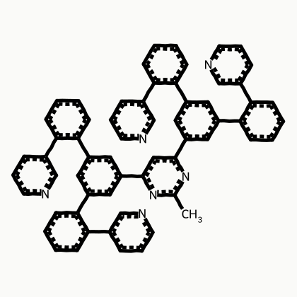 Cc1nc(-c2cc(-c3ccccc3-c3cccnc3)cc(-c3ccccc3-c3cccnc3)c2)cc(-c2cc(-c3ccccc3-c3cccnc3)cc(-c3ccccc3-c3cccnc3)c2)n1